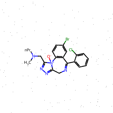 CCCN(C)CC1=NN=C2CN=C(c3ccccc3Cl)c3cc(Br)ccc3[N+]21[O-]